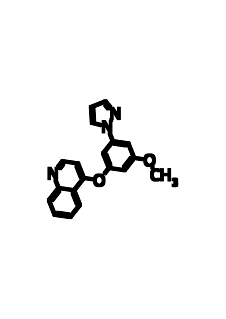 COc1cc(Oc2ccnc3ccccc23)cc(-n2cccn2)c1